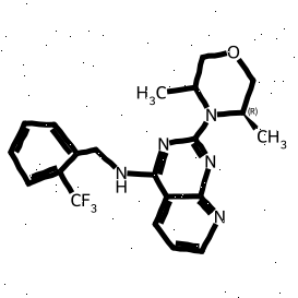 CC1COC[C@@H](C)N1c1nc(NCc2ccccc2C(F)(F)F)c2cccnc2n1